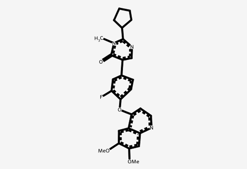 COc1cc2nccc(Oc3ccc(-c4cnc(C5CCCC5)n(C)c4=O)cc3F)c2cc1OC